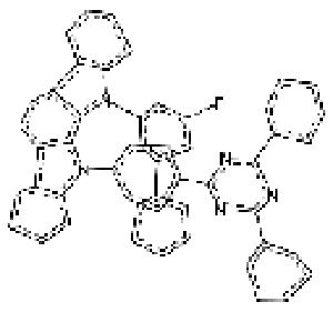 Fc1cc(-c2ccccc2)cc(-n2c3ccccc3c3ccc4c5ccccc5n(-c5ccc(-c6nc(-c7ccccc7)nc(-c7ccccc7)n6)cc5)c4c32)c1